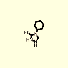 CCC1NNCN1C1CCCCC1